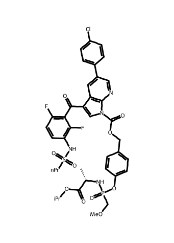 CCCS(=O)(=O)Nc1ccc(F)c(C(=O)c2cn(C(=O)OCc3ccc(OP(=O)(COC)N[C@@H](C)C(=O)OC(C)C)cc3)c3ncc(-c4ccc(Cl)cc4)cc23)c1F